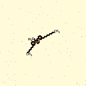 CCCCCCCCCCCCCN1C=CN(CCCCCCCCCC)C1(Cc1ccccc1)C(CC)c1ccccc1